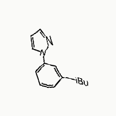 CCC(C)c1cccc(-n2cccn2)c1